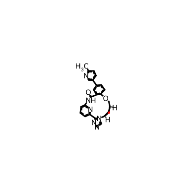 Cc1ccc(-c2ccc3c(c2)C(=O)Nc2cccc(n2)-c2nncn2[C@H]2C[C@H](CO3)C2)cn1